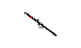 CCCCCCCCCCCCC/C=C/[C@@H](O)CCOC(=O)CCC(=O)OCCOCCOCCOCCOC